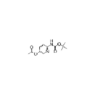 CC(=O)Oc1ccc(NC(=O)OC(C)(C)C)nc1